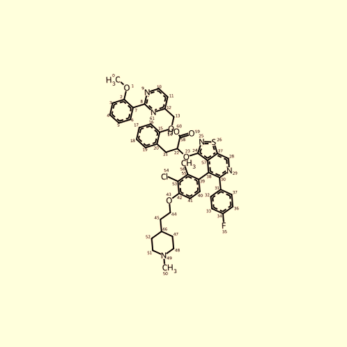 COc1ccccc1-c1nccc(COc2ccccc2CC(Oc2nsc3cnc(-c4ccc(F)cc4)c(-c4ccc(OCCC5CCN(C)CC5)c(Cl)c4C)c23)C(=O)O)n1